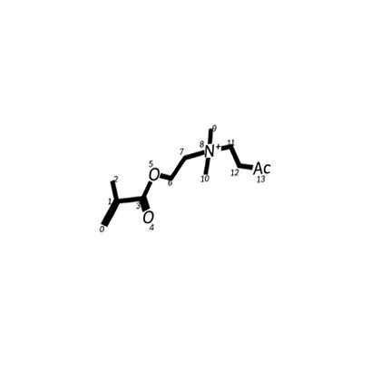 C=C(C)C(=O)OCC[N+](C)(C)CCC(C)=O